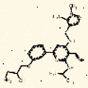 Cc1c(CNc2cc(-c3cccc(OCC(O)CN)c3)nc(NC(C)C)c2C=N)cnn1C